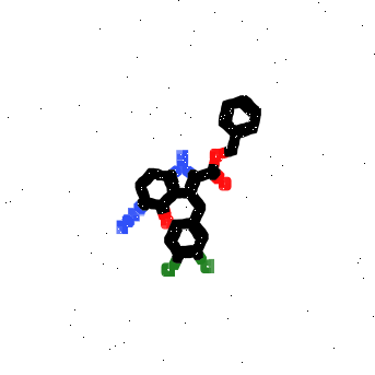 [N-]=[N+]=C1CCc2[nH]c(C(=O)OCc3ccccc3)c(Cc3ccc(Cl)c(Cl)c3)c2C1=O